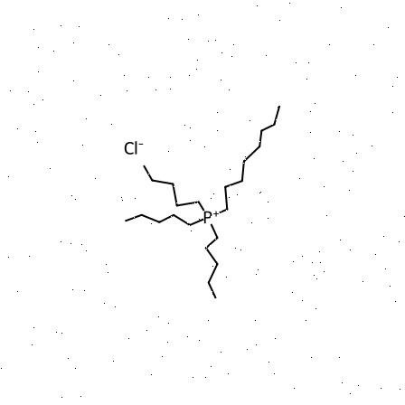 CCCCCCCC[P+](CCCCC)(CCCCC)CCCCC.[Cl-]